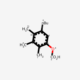 CCCCc1cc(OC(=O)O)c(C)c(C)c1C